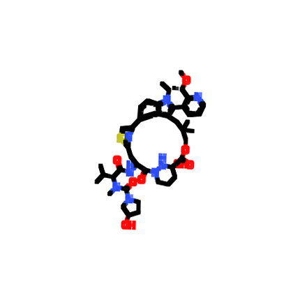 CCn1c(-c2cccnc2[C@H](C)OC)c2c3cc(ccc31)-c1csc(n1)C[C@H](NC(=O)[C@H](C(C)C)N(C)C(=O)N1CC[C@@H](O)C1)C(=O)N1CCC[C@@](O)(N1)C(=O)OCC(C)(C)C2